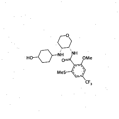 COc1cc(C(F)(F)F)cc(SC)c1C(=O)N[C@H]1COCC[C@H]1NC1CCC(O)CC1